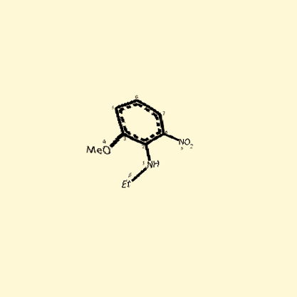 CCNc1c(OC)cccc1[N+](=O)[O-]